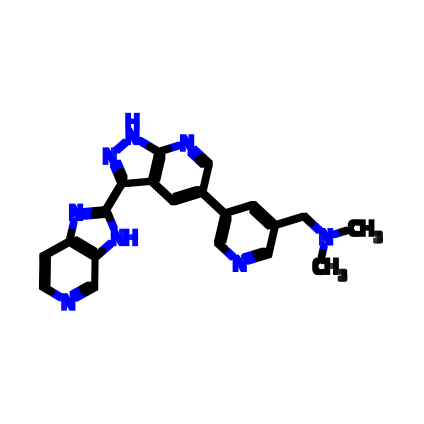 CN(C)Cc1cncc(-c2cnc3[nH]nc(-c4nc5ccncc5[nH]4)c3c2)c1